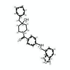 O=C(c1ccc(NSc2cccc3nonc23)cc1)N1CCC(O)(Cc2ccccc2)CC1